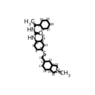 CC(NC(=O)NC1CCC(SCC2CCC3CN(C)CC3C2)CC1F)C1CCCCC1